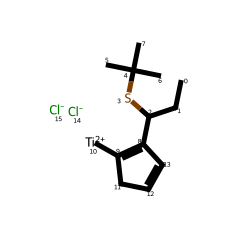 CCC(SC(C)(C)C)C1=[C]([Ti+2])CC=C1.[Cl-].[Cl-]